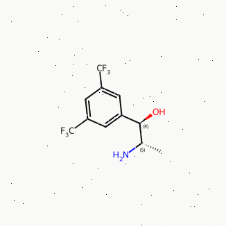 C[C@H](N)[C@H](O)c1cc(C(F)(F)F)cc(C(F)(F)F)c1